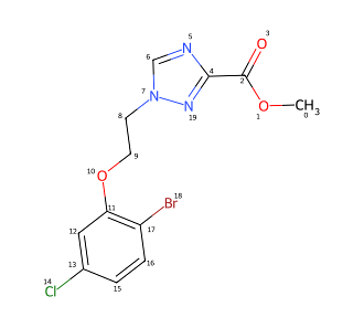 COC(=O)c1ncn(CCOc2cc(Cl)ccc2Br)n1